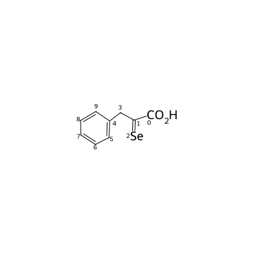 O=C(O)C(=[Se])Cc1ccccc1